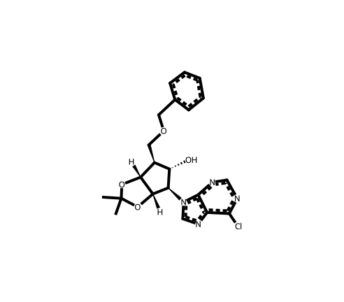 CC1(C)O[C@@H]2[C@@H](COCc3ccccc3)[C@H](O)[C@@H](n3cnc4c(Cl)ncnc43)[C@@H]2O1